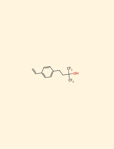 C=Cc1ccc(CCC(O)(C(F)(F)F)C(F)(F)F)cc1